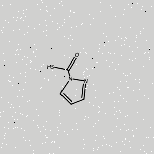 O=C(S)n1cccn1